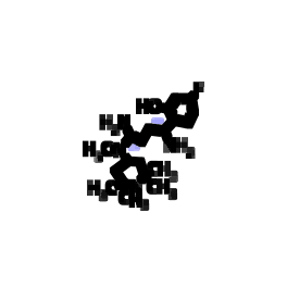 CN(/C(N)=C/C=C(\N)c1ccc(F)cc1O)C1CC(C)(C)NC(C)(C)C1